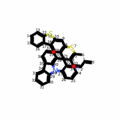 C=C/C=C\C1=C(C)Sc2cc3sc4ccccc4c3cc2C12c1ccccc1-n1c3ccccc3c3cccc2c31